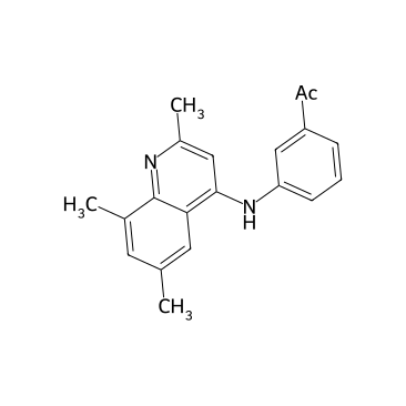 CC(=O)c1cccc(Nc2cc(C)nc3c(C)cc(C)cc23)c1